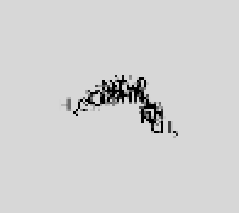 Cc1ccc(S(=O)(=O)n2ccc(C(=O)NCc3cnc(C)nc3)n2)cc1